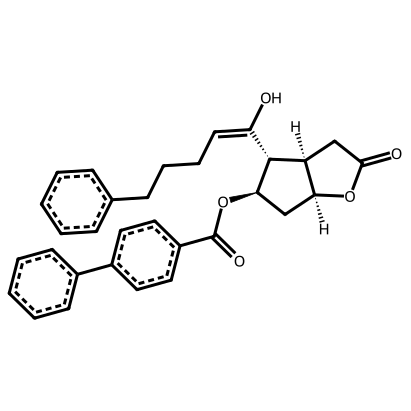 O=C1C[C@@H]2[C@@H](/C(O)=C\CCCc3ccccc3)[C@H](OC(=O)c3ccc(-c4ccccc4)cc3)C[C@@H]2O1